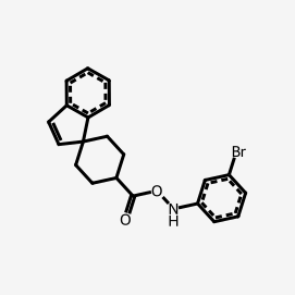 O=C(ONc1cccc(Br)c1)C1CCC2(C=Cc3ccccc32)CC1